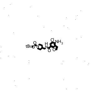 CC(C)(C)OC(=O)N1CCC(CNC(=O)c2cc(Cl)c(N)c3ccoc23)CC1